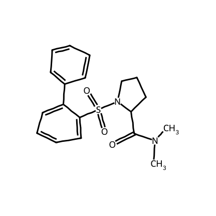 CN(C)C(=O)C1CCCN1S(=O)(=O)c1ccccc1-c1ccccc1